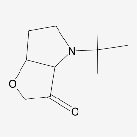 CC(C)(C)N1CCC2OCC(=O)C21